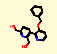 OCc1ccc(-c2ncccc2OCc2ccccc2)c(CO)n1